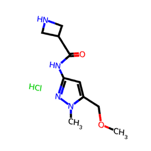 COCc1cc(NC(=O)C2CNC2)nn1C.Cl